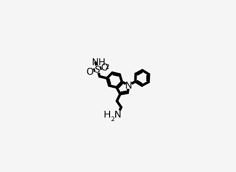 NCCc1cn(-c2ccccc2)c2ccc(CS(N)(=O)=O)cc12